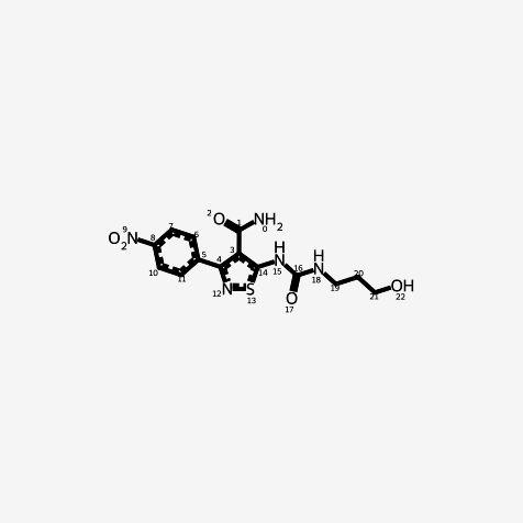 NC(=O)c1c(-c2ccc([N+](=O)[O-])cc2)nsc1NC(=O)NCCCO